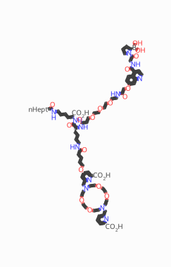 CCCCCCCC(=O)NCCCC[C@H](NC(=O)[C@H](CCCCNC(=O)CCCCOc1cc(CN2CCOCCOCCN(Cc3cccc(C(=O)O)n3)CCOCCOCC2)nc(C(=O)O)c1)NC(=O)CCOCCOCCOCCNC(=O)COc1ccc2c(C(=O)NCC(=O)N3CCC[C@H]3B(O)O)ccnc2c1)C(=O)O